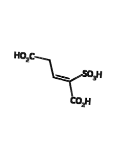 O=C(O)CC=C(C(=O)O)S(=O)(=O)O